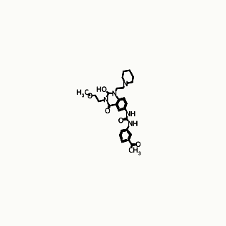 COCCN1C(=O)c2cc(NC(=O)Nc3cccc(C(C)=O)c3)ccc2N(CCN2CCCCC2)C1O